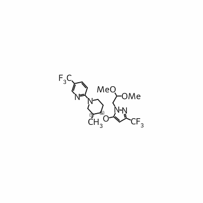 COC(Cn1nc(C(F)(F)F)cc1O[C@H]1CCN(c2ccc(C(F)(F)F)cn2)C[C@@H]1C)OC